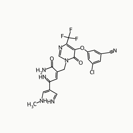 CN/C=C(\C=N)C(=N)/C=C(/Cn1cnc(C(F)(F)F)c(Oc2cc(Cl)cc(C#N)c2)c1=O)C(N)=O